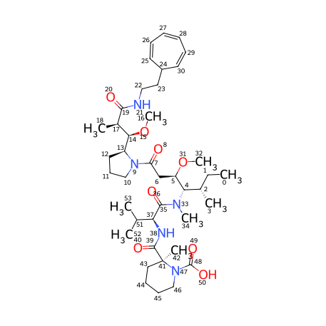 CC[C@H](C)[C@@H]([C@@H](CC(=O)N1CCC[C@H]1[C@H](OC)[C@@H](C)C(=O)NCCC1C=CC=CC=C1)OC)N(C)C(=O)[C@@H](NC(=O)[C@]1(C)CCCCN1C(=O)O)C(C)C